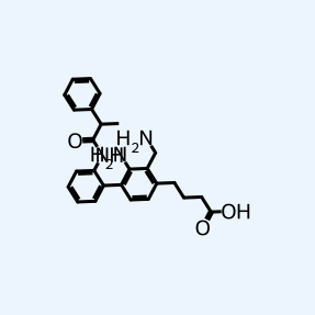 CC(C(=O)Nc1ccccc1-c1ccc(CCCC(=O)O)c(CN)c1N)c1ccccc1